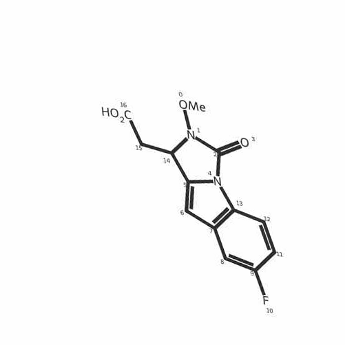 CON1C(=O)n2c(cc3cc(F)ccc32)C1CC(=O)O